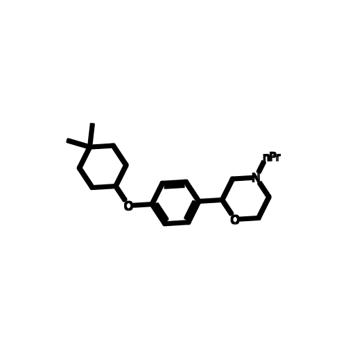 CCCN1CCOC(c2ccc(OC3CCC(C)(C)CC3)cc2)C1